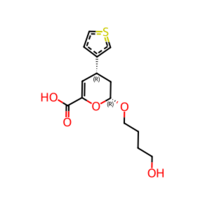 O=C(O)C1=C[C@H](c2ccsc2)C[C@H](OCCCCO)O1